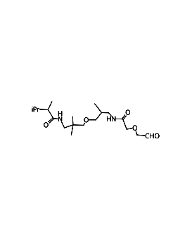 CC(CNC(=O)COCC=O)COCC(C)(C)CNC(=O)C(C)C(C)C